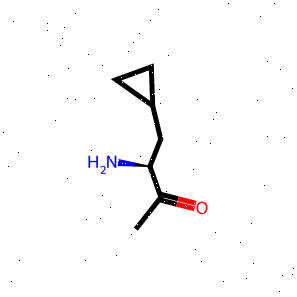 CC(=O)[C@@H](N)CC1CC1